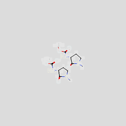 CN1CC[C@H](NC(=O)OC(C)(C)C)C1=O.CN1CC[C@H](NC(=O)OC(C)(C)C)C1=O